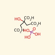 O=C(O)CC(O)(CC(=O)O)C(=O)O.O=P(O)(O)O